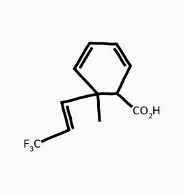 CC1(/C=C/C(F)(F)F)C=CC=CC1C(=O)O